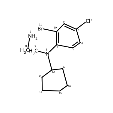 CN.CN(c1ccc(Cl)cc1Br)C1CCCCC1